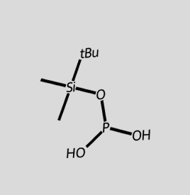 CC(C)(C)[Si](C)(C)OP(O)O